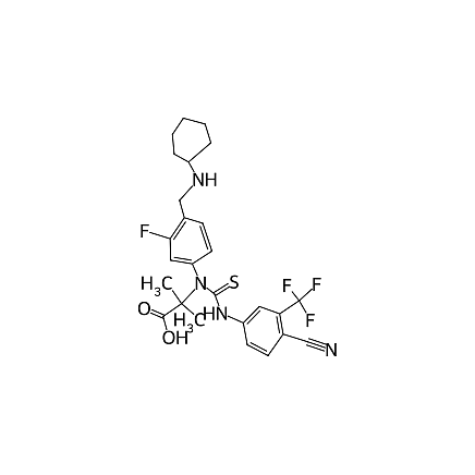 CC(C)(C(=O)O)N(C(=S)Nc1ccc(C#N)c(C(F)(F)F)c1)c1ccc(CNC2CCCCC2)c(F)c1